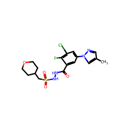 Cc1cnn(-c2cc(Cl)c(F)c(C(=O)NNS(=O)(=O)CC3CCOCC3)c2)c1